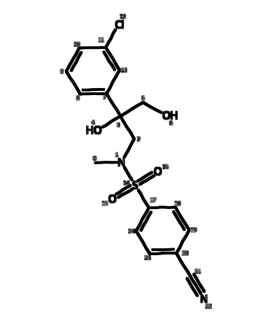 CN(CC(O)(CO)c1cccc(Cl)c1)S(=O)(=O)c1ccc(C#N)cc1